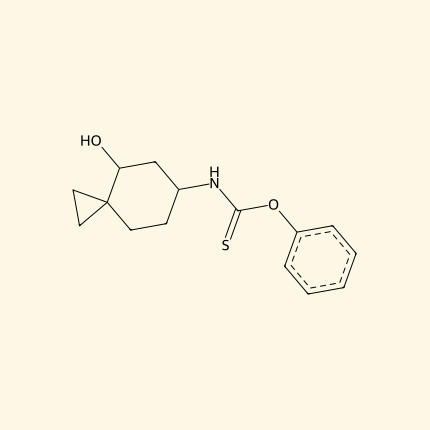 OC1CC(NC(=S)Oc2ccccc2)CCC12CC2